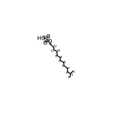 CC(C)CCCCCCCCCCCOS(=O)(=O)O